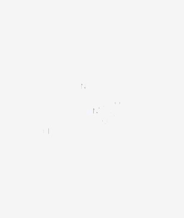 N#C/C(=N\OS(=O)(=O)c1ccccc1)c1ccc(Cl)cc1